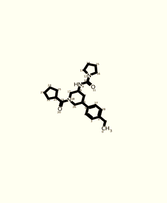 CCc1ccc(C2CC(NC(=O)N3CCCC3)CN(C(=O)C3CCCC3)C2)cc1